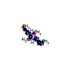 C=CC(=O)Nc1cc(Nc2cc(-c3ccc4cnn(C)c4c3)ncn2)c(OC)cc1N1CCC(N2CC(OC)C2)CC1